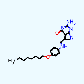 CCCCCCCCOc1ccc(NCC2=C3C(=O)N=C(N)N=C3N=C2)cc1